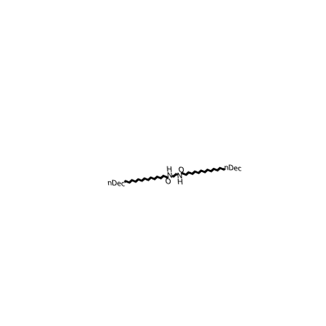 CCCCCCCCCCCCCCCCCCCCCCCC(=O)NCCNC(=O)CCCCCCCCCCCCCCCCCCCCCCC